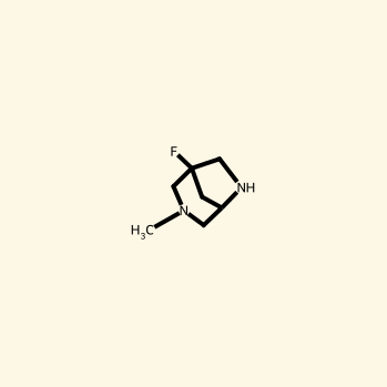 CN1CC2CC(F)(CN2)C1